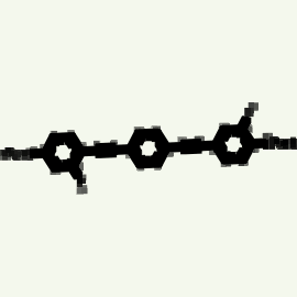 CCCCCc1ccc(C#Cc2ccc(C#Cc3ccc(CCCCC)c(F)c3)cc2)c(F)c1